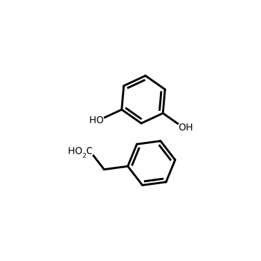 O=C(O)Cc1ccccc1.Oc1cccc(O)c1